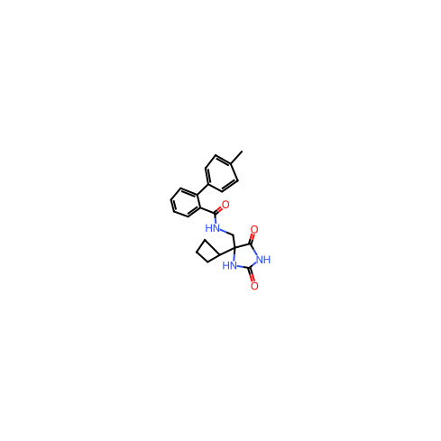 Cc1ccc(-c2ccccc2C(=O)NCC2(C3CCC3)NC(=O)NC2=O)cc1